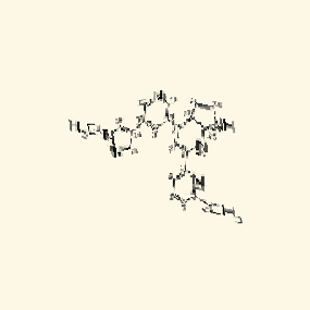 Cc1cccc(-c2nc(-c3cncc(-c4cnn(C)c4)c3)c3cc[nH]c3n2)n1